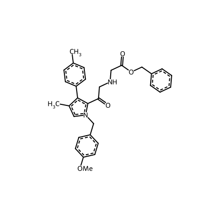 COc1ccc(Cn2cc(C)c(-c3ccc(C)cc3)c2C(=O)CNCC(=O)OCc2ccccc2)cc1